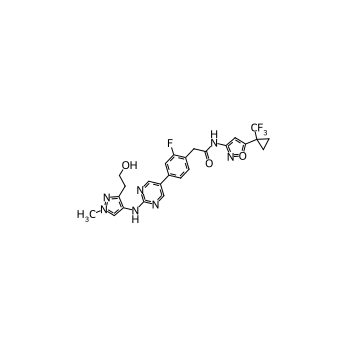 Cn1cc(Nc2ncc(-c3ccc(CC(=O)Nc4cc(C5(C(F)(F)F)CC5)on4)c(F)c3)cn2)c(CCO)n1